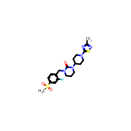 CS(=O)(=O)c1ccc(CN2CCCN(C3CCN(c4nc(C(F)(F)F)ns4)CC3)C2=O)c(F)c1